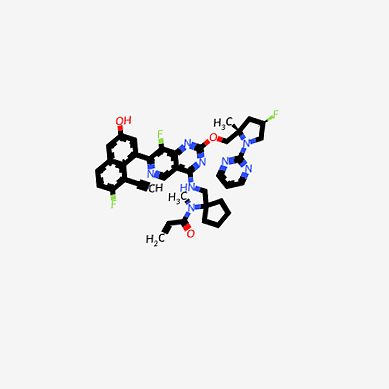 C#Cc1c(F)ccc2cc(O)cc(-c3ncc4c(NCC5(N(C)C(=O)C=C)CCCC5)nc(OC[C@]5(C)C[C@@H](F)CN5c5ncccn5)nc4c3F)c12